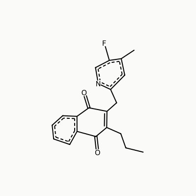 CCCC1=C(Cc2cc(C)c(F)cn2)C(=O)c2ccccc2C1=O